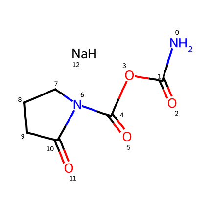 NC(=O)OC(=O)N1CCCC1=O.[NaH]